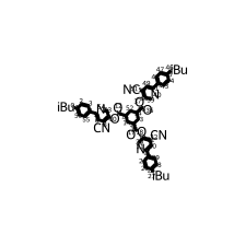 CCC(C)c1ccc(-c2cc(C#N)c(OC(=O)C3CC(C(=O)Oc4cnc(-c5ccc(C(C)CC)cc5)cc4C#N)CC(C(=O)Oc4cnc(-c5ccc(C(C)CC)cc5)cc4C#N)C3)cn2)cc1